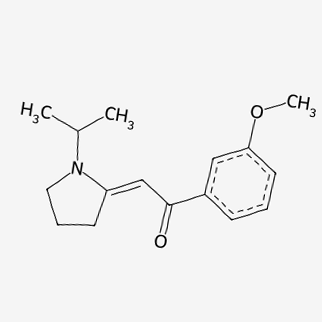 COc1cccc(C(=O)C=C2CCCN2C(C)C)c1